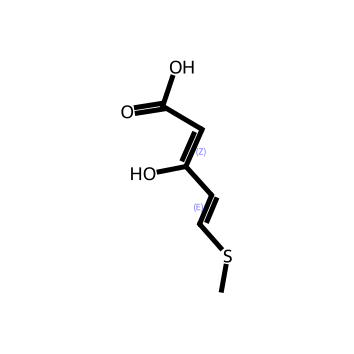 CS/C=C/C(O)=C/C(=O)O